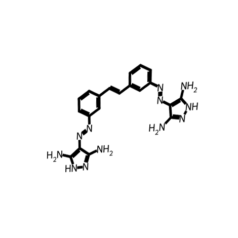 Nc1n[nH]c(N)c1N=Nc1cccc(C=Cc2cccc(N=Nc3c(N)n[nH]c3N)c2)c1